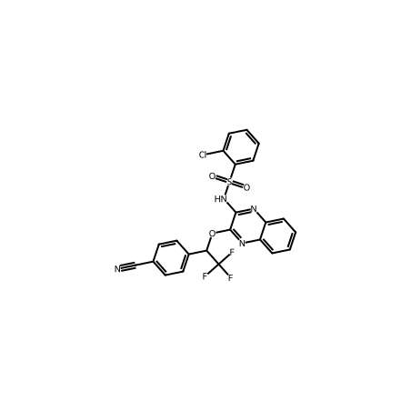 N#Cc1ccc(C(Oc2nc3ccccc3nc2NS(=O)(=O)c2ccccc2Cl)C(F)(F)F)cc1